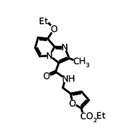 CCOC(=O)c1ccc(CNC(=O)c2c(C)nc3c(OCC)cccn23)o1